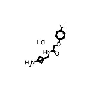 Cl.NC12CC(CNC(=O)COc3ccc(Cl)cc3)(C1)C2